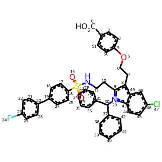 O=C(O)c1ccc(OCCc2c(CCNS(=O)(=O)c3ccc(-c4ccc(F)cc4)cc3)n(C(c3ccccc3)c3ccccc3)c3ccc(Cl)cc23)cc1